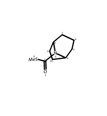 CSC(=O)N1C2CCCC1CC2